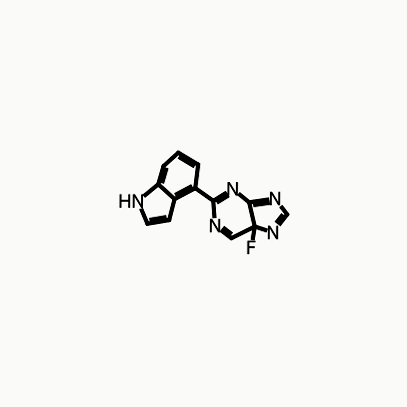 FC12C=NC(c3cccc4[nH]ccc34)=NC1=NC=N2